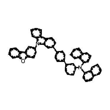 c1cc(-c2ccc(-c3ccc4c5ccccc5n(-c5ccc6oc7ccccc7c6c5)c4c3)cc2)cc(N(c2cccc3ccccc23)c2cccc3ccccc23)c1